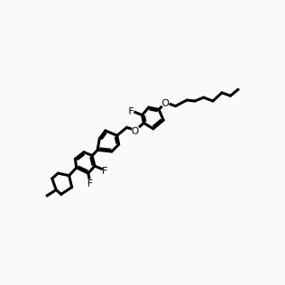 CCCCCCCCOc1ccc(OCc2ccc(-c3ccc(C4CCC(C)CC4)c(F)c3F)cc2)c(F)c1